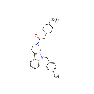 N#Cc1ccc(Cn2c3c(c4ccccc42)CCN(C(=O)CC2CCC(C(=O)O)CC2)C3)cc1